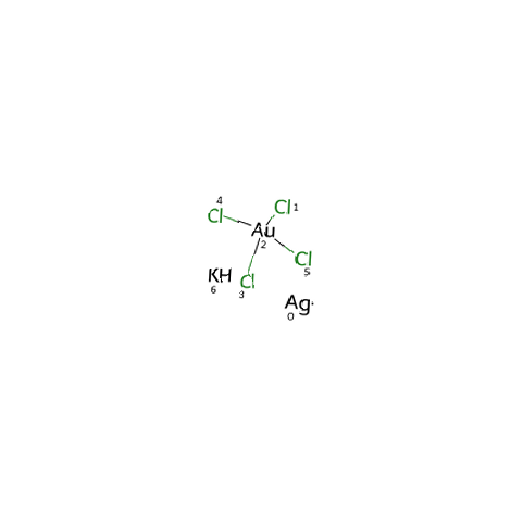 [Ag].[Cl][Au]([Cl])([Cl])[Cl].[KH]